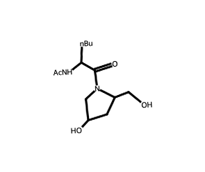 CCCCC(NC(C)=O)C(=O)N1CC(O)CC1CO